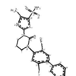 Cc1nc(N2CCCN(c3cc(F)c(-c4ccccc4)cc3F)C2=O)sc1S(N)(=O)=O